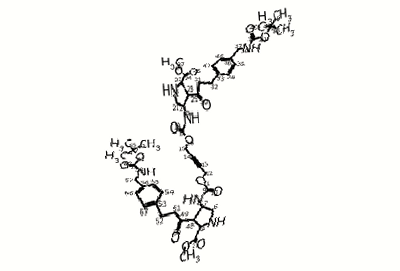 COC(=O)C1NCC(NC(=O)OCC#CCOC(=O)NC2CNC(C(=O)OC)C2C(=O)CCc2ccc(CNC(=O)OC(C)(C)C)cc2)C1C(=O)CCc1ccc(CNC(=O)OC(C)(C)C)cc1